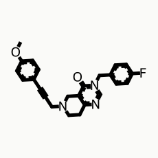 COc1ccc(C#CCN2CCc3ncn(Cc4ccc(F)cc4)c(=O)c3C2)cc1